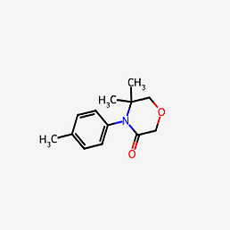 Cc1ccc(N2C(=O)COCC2(C)C)cc1